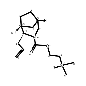 C=CC[C@@H]1[C@@H]2CC[C@@H](C2)CN1C(=O)OCC[Si](C)(C)C